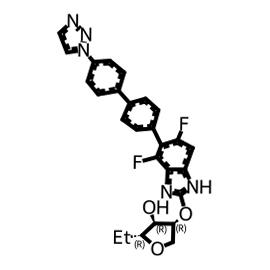 CC[C@H]1OC[C@@H](Oc2nc3c(F)c(-c4ccc(-c5ccc(-n6ccnn6)cc5)cc4)c(F)cc3[nH]2)[C@@H]1O